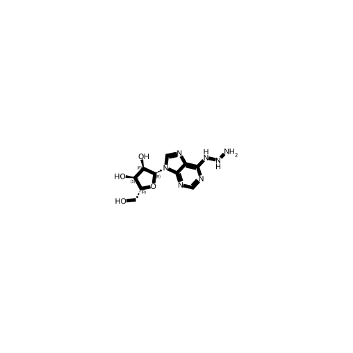 NNNc1ncnc2c1ncn2[C@@H]1O[C@H](CO)[C@@H](O)[C@H]1O